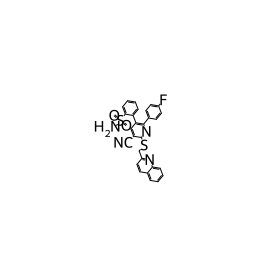 N#Cc1cc(-c2ccccc2S(N)(=O)=O)c(-c2ccc(F)cc2)nc1SCc1ccc2ccccc2n1